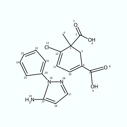 CC1(C(=O)O)CC(C(=O)O)=CC=C1Cl.Nc1ccnn1-c1ccccc1